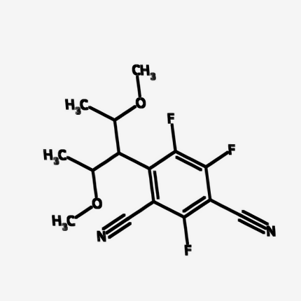 COC(C)C(c1c(F)c(F)c(C#N)c(F)c1C#N)C(C)OC